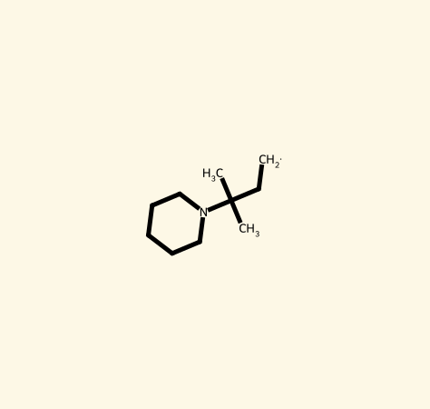 [CH2]CC(C)(C)N1CCCCC1